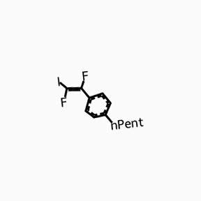 CCCCCc1ccc(/C(F)=C(\F)I)cc1